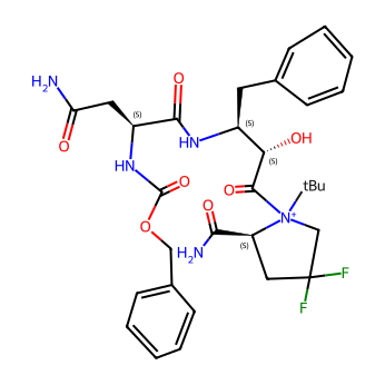 CC(C)(C)[N+]1(C(=O)[C@@H](O)[C@H](Cc2ccccc2)NC(=O)[C@H](CC(N)=O)NC(=O)OCc2ccccc2)CC(F)(F)C[C@H]1C(N)=O